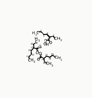 CCCC=C(CC)C(=O)OO.CCCCC(CC)C(=O)OOC(=O)C(CC)CCCC